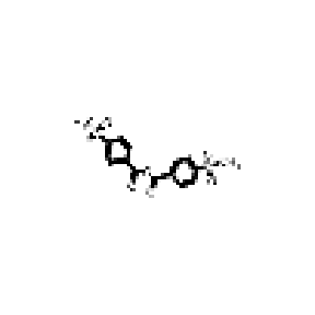 CS(=O)(=O)c1ccc(C(=O)OC(=O)c2ccc(S(C)(=O)=O)cc2)cc1